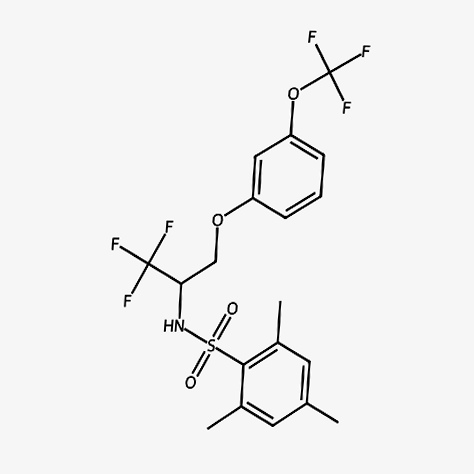 Cc1cc(C)c(S(=O)(=O)NC(COc2cccc(OC(F)(F)F)c2)C(F)(F)F)c(C)c1